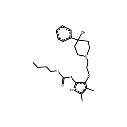 CCCCOC(=O)Oc1[nH]c(C)c(C)c1OCCN1CCC(O)(c2ccccc2)CC1